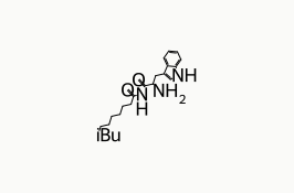 CCC(C)CCCCCCC(=O)NC(=O)[C@@H](N)Cc1c[nH]c2ccccc12